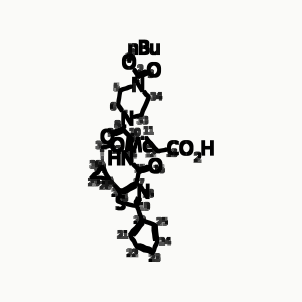 CCCCOC(=O)N1CCN(C(=O)[C@H](CCC(=O)O)NC(=O)c2nc(-c3ccccc3)sc2[C@H]2C[C@@H]2COC)CC1